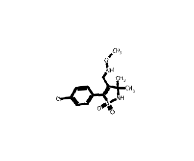 CONCC1=C(c2ccc(Cl)cc2)S(=O)(=O)NC1(C)C